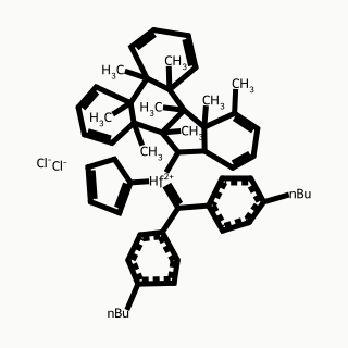 CCCCc1ccc([C](c2ccc(CCCC)cc2)=[Hf+2]([C]2=CC=CC2)[CH]2C3C=CC=C(C)C3(C)C3(C)C4(C)C=CC=CC4(C)C4(C)C=CC=CC4(C)C23C)cc1.[Cl-].[Cl-]